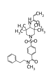 C=CC(=O)NC1C(C)(C)CN(S(=O)(=O)c2ccc(C(=O)N(C)CCc3ccccc3)cc2)CC1(C)C